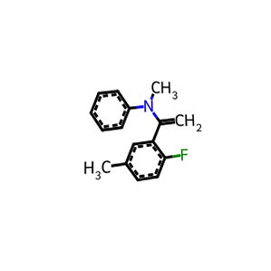 C=C(c1cc(C)ccc1F)N(C)c1ccccc1